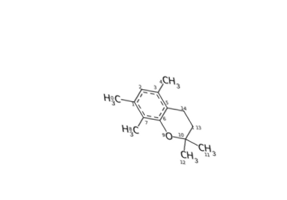 Cc1cc(C)c2c(c1C)OC(C)(C)[CH]C2